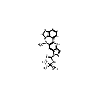 COc1cc2c(cnn2C(=O)OC(C)(C)C)nc1-c1cccc2c1CCC2